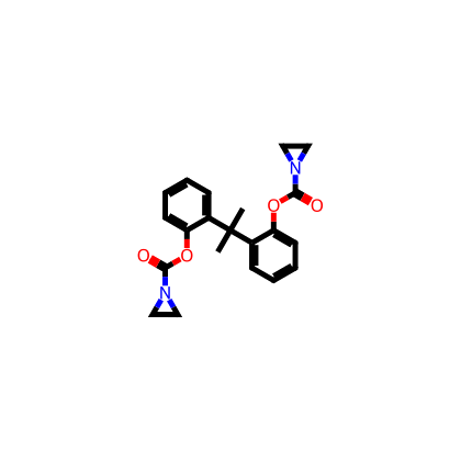 CC(C)(c1ccccc1OC(=O)N1CC1)c1ccccc1OC(=O)N1CC1